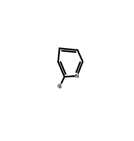 [B]c1ccccn1